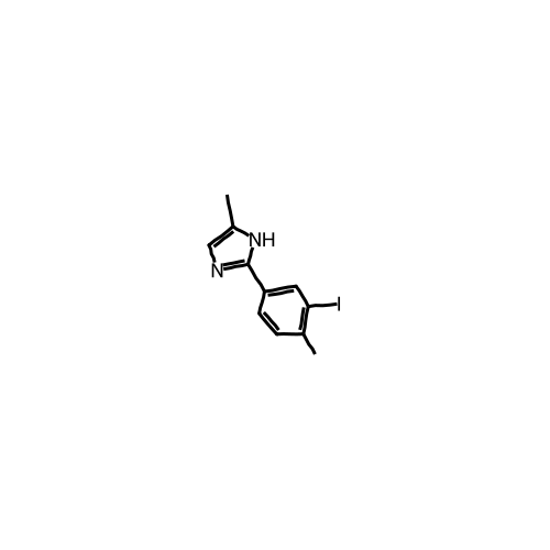 Cc1cnc(-c2ccc(C)c(I)c2)[nH]1